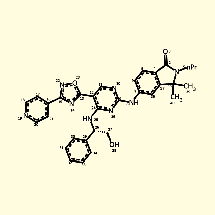 CCCN1C(=O)c2ccc(Nc3ncc(-c4nc(-c5ccncc5)no4)c(N[C@H](CO)c4ccccc4)n3)cc2C1(C)C